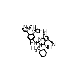 COc1cc(NC2=Nc3[nH]cc(C#N)c3C(NC3CCCCC3)N2C)ccc1-c1ccnn1C